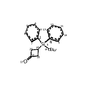 CC(C)(C)[Si](c1ccccc1)(c1ccccc1)C1[CH]C(=O)C1